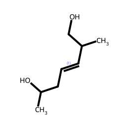 CC(O)C/C=C/C(C)CO